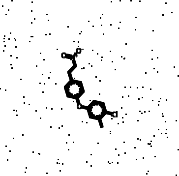 Cc1cc(Oc2ccc(CC[N+](=O)[O-])cc2)ccc1Cl